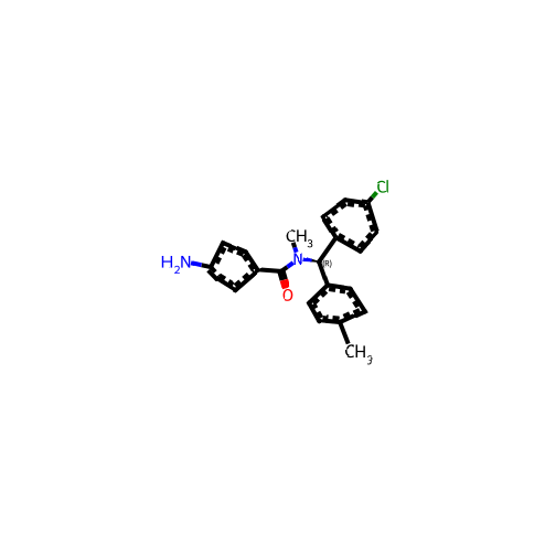 Cc1ccc([C@H](c2ccc(Cl)cc2)N(C)C(=O)c2ccc(N)cc2)cc1